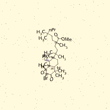 CCCC(C)(C)CC[C@@](C)(CCC(C)(C)[C@]1(C)CC[C@H]2C(C)(C)C(=O)[C@]3(Br)O[C@@H]3[C@]2(C)/C1=C/C(C)=O)C(=O)OC